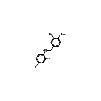 COc1ccc(CNc2ccc(F)cc2C)cc1O